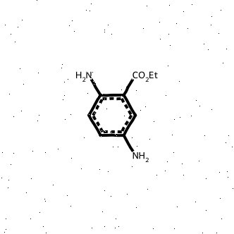 CCOC(=O)c1cc(N)ccc1N